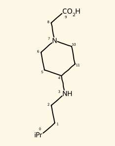 CC(C)CCNC1CCN(CC(=O)O)CC1